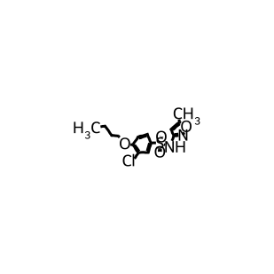 CCCCOc1ccc(S(=O)(=O)Nc2cc(C)on2)cc1Cl